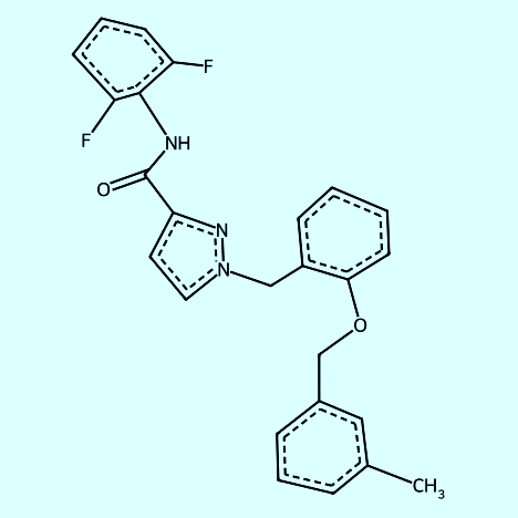 Cc1cccc(COc2ccccc2Cn2ccc(C(=O)Nc3c(F)cccc3F)n2)c1